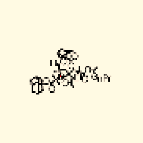 CCCOC(C)OC(=O)C(C)(CC)CC1(CC(C)(CC(C)(C)C(=O)OC23CC4CC(CC(C4)C2)C3)C(=O)OC2C3CC4C(=O)OC2C4C3)CC(C)OC1=O